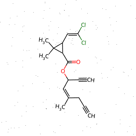 C#CCC(C)=CC(C#C)OC(=O)C1C(C=C(Cl)Cl)C1(C)C